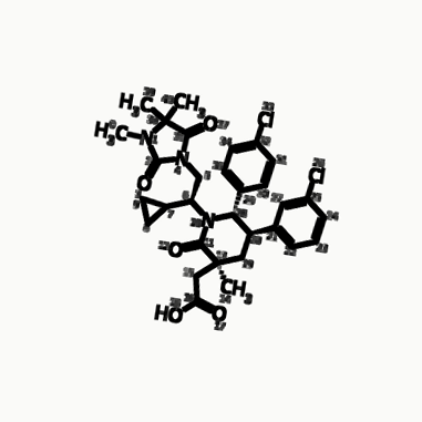 CN1C(=O)N(C[C@H](C2CC2)N2C(=O)[C@](C)(CC(=O)O)C[C@H](c3cccc(Cl)c3)[C@H]2c2ccc(Cl)cc2)C(=O)C1(C)C